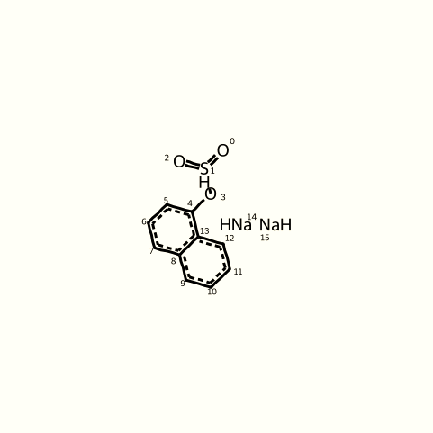 O=[SH](=O)Oc1cccc2ccccc12.[NaH].[NaH]